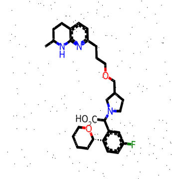 CC1CCc2ccc(CCCOCC3CCN(C(C(=O)O)c4cc(F)ccc4[C@@H]4CCCCO4)C3)nc2N1